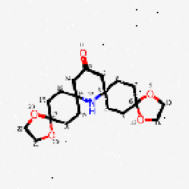 O=C1CC2(CCC3(CC2)OCCO3)NC2(CCC3(CC2)OCCO3)C1